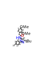 COc1ccc(CC(=O)Nc2cc(C(C)(C)C)nn2-c2ccc(C)cc2)c(OC)c1